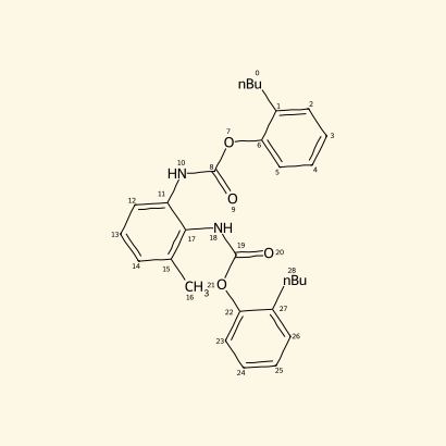 CCCCc1ccccc1OC(=O)Nc1cccc(C)c1NC(=O)Oc1ccccc1CCCC